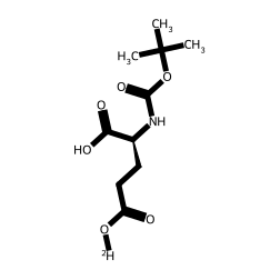 [2H]OC(=O)CC[C@H](NC(=O)OC(C)(C)C)C(=O)O